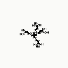 N=C(CCOCC(COCCC(=N)NO)(COCCC(=N)NO)COCCC(=N)NO)NO